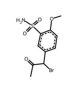 COc1ccc(C(Br)C(C)=O)cc1S(N)(=O)=O